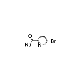 O=[C]([Na])c1ccc(Br)cn1